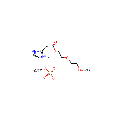 CCCCCCCCOS(=O)(=O)[O-].CCCOCCOCCOC(=O)Cc1[nH]cc[n+]1C